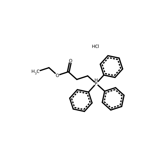 CCOC(=O)CC[PH](c1ccccc1)(c1ccccc1)c1ccccc1.Cl